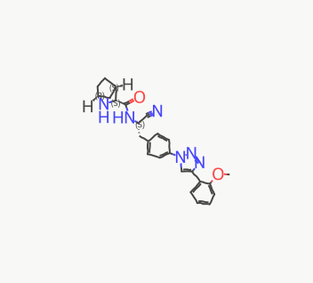 COc1ccccc1-c1cn(-c2ccc(C[C@@H](C#N)NC(=O)[C@H]3N[C@@H]4CC[C@H]3C4)cc2)nn1